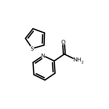 NC(=O)c1ccccn1.c1ccsc1